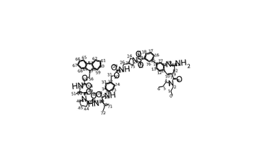 CCCN(CCC)C(=O)C1=Cc2ccc(-c3cccc(S(=O)(=O)N4CC(CNC(=O)OCc5ccc(NC(=O)[C@@H](NC(=O)[C@@H]6CCCN6C(=O)[C@@H](C)NC(=O)OCC6c7ccccc7-c7ccccc76)C(C)C)cc5)C4)c3)cc2N=C(N)C1